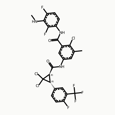 CNc1c(F)ccc(NC(=O)c2cc(NC(=O)[C@H]3[C@H](c4ccc(F)c(C(F)(F)F)c4)C3(Cl)Cl)cc(C)c2Cl)c1F